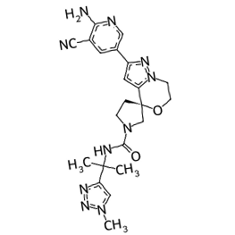 Cn1cc(C(C)(C)NC(=O)N2CC[C@]3(C2)OCCn2nc(-c4cnc(N)c(C#N)c4)cc23)nn1